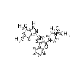 Cc1cc(C)c2[nH]nc(-c3nc(C(=O)N4CCN(C(C)C)CC4)c(-c4cccnc4)s3)c2c1